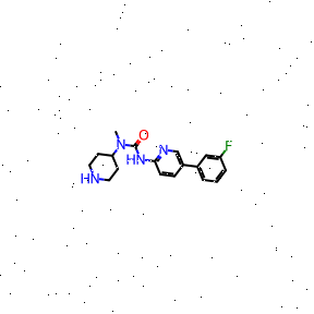 CN(C(=O)Nc1ccc(-c2cccc(F)c2)cn1)C1CCNCC1